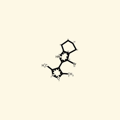 Cc1noc(C)c1-c1[nH]c2c(c1Br)CCCC2